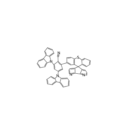 N#Cc1c(-c2ccc3c(c2)C2(c4ccccc4S3)c3cccnc3-c3ncccc32)cc(-n2c3ccccc3c3ccccc32)cc1-n1c2ccccc2c2ccccc21